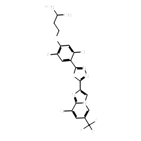 NC(O)CCOc1cc(Cl)c(-c2nnc(-c3cn4cc(C(F)(F)F)cc(Cl)c4n3)s2)cc1F